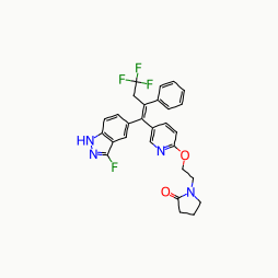 O=C1CCCN1CCOc1ccc(/C(=C(/CC(F)(F)F)c2ccccc2)c2ccc3[nH]nc(F)c3c2)cn1